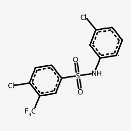 O=S(=O)(Nc1[c]ccc(Cl)c1)c1ccc(Cl)c(C(F)(F)F)c1